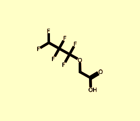 O=C(O)COC(F)(F)C(F)(F)C(F)F